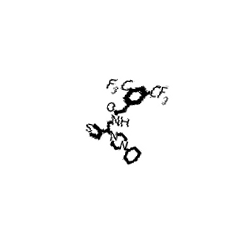 O=C(Cc1cc(C(F)(F)F)cc(C(F)(F)F)c1)NCC(c1ccsc1)N1CCN(C2CCCCC2)CC1